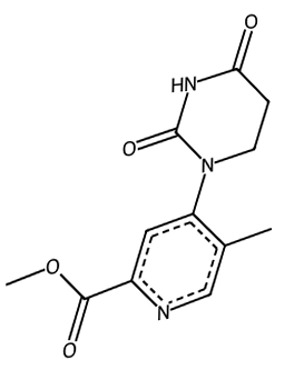 COC(=O)c1cc(N2CCC(=O)NC2=O)c(C)cn1